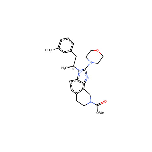 COC(=O)N1CCc2ccc3c(nc(N4CCOCC4)n3[C@@H](C)Cc3cccc(C(=O)O)c3)c2C1